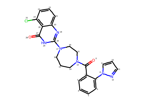 O=C(c1ccccc1-n1cccn1)N1CCCN(c2nc3cccc(Cl)c3c(=O)[nH]2)CC1